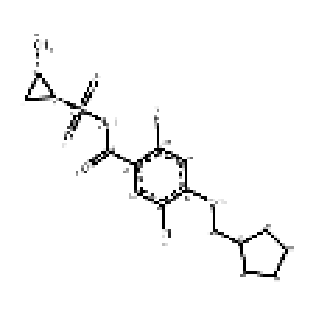 C[C@H]1C[C@@H]1S(=O)(=O)NC(=O)c1cc(Cl)c(OCC2CCCC2)cc1F